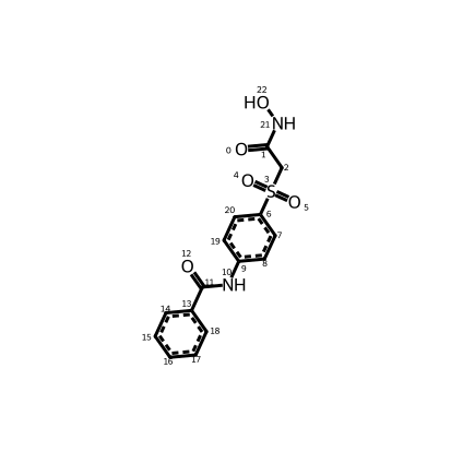 O=C(CS(=O)(=O)c1ccc(NC(=O)c2ccccc2)cc1)NO